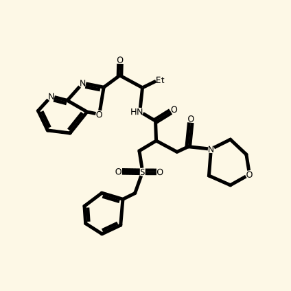 CCC(NC(=O)C(CC(=O)N1CCOCC1)CS(=O)(=O)Cc1ccccc1)C(=O)c1nc2ncccc2o1